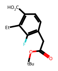 CCc1c(C(=O)O)ccc(CC(=O)OC(C)(C)C)c1F